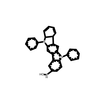 OBc1ccc2c(c1)c1cc3c(cc1n2-c1ccccc1)C1C=CC=CC1N3c1ccccc1